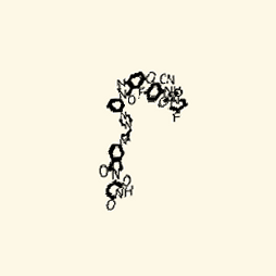 N#Cc1c(NS(=O)(=O)N2CC[C@@H](F)C2)ccc(F)c1Oc1ccc2ncn(-c3cccc(N4CCN(CC5CN(c6ccc7c(c6)CN([C@H]6CCC(=O)NC6=O)C7=O)C5)CC4)c3)c(=O)c2c1